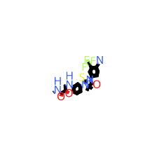 CNC(=O)C1CNc2cc(N3C(=S)N(c4ccc(C#N)c(C(F)(F)F)c4)C(=O)C3(C)C)ccc2O1